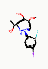 COC1=CN(c2ccc(I)cc2F)NC(C(C)=O)=C1O